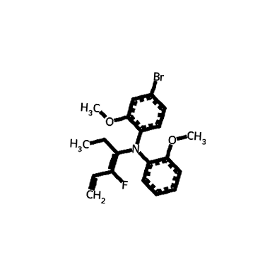 C=C/C(F)=C(\CC)N(c1ccccc1OC)c1ccc(Br)cc1OC